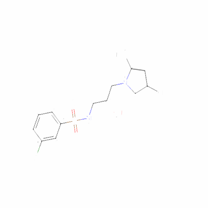 CC1CC(C)N(C[C@H](O)CNS(=O)(=O)c2cccc(F)c2)C1